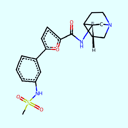 CS(=O)(=O)Nc1cccc(-c2ccc(C(=O)N[C@H]3CN4CCC3CC4)o2)c1